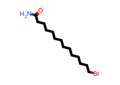 NC(=O)CCCCCCCCCCCCCBr